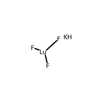 [F][Lu]([F])[F].[KH]